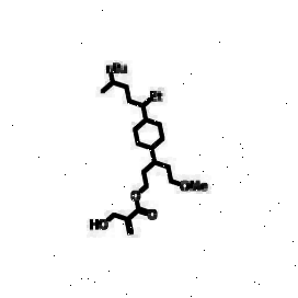 C=C(CO)C(=O)OCCC(CCOC)C1CCC(C(CC)CCC(C)CCCC)CC1